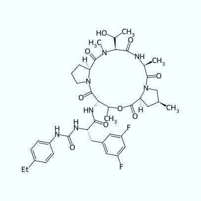 CCc1ccc(NC(=O)N[C@@H](Cc2cc(F)cc(F)c2)C(=O)N[C@@H]2C(=O)N3CCC[C@H]3C(=O)N(C)[C@@H](C(C)O)C(=O)N[C@@H](C)C(=O)N3C[C@@H](C)C[C@H]3C(=O)OC2C)cc1